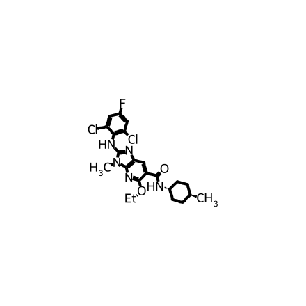 CCOc1nc2c(cc1C(=O)N[C@H]1CC[C@H](C)CC1)nc(Nc1c(Cl)cc(F)cc1Cl)n2C